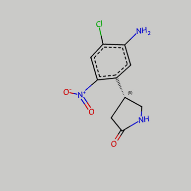 Nc1cc([C@@H]2CNC(=O)C2)c([N+](=O)[O-])cc1Cl